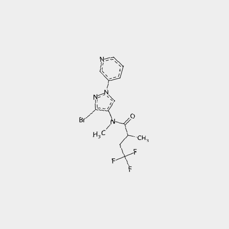 CC(CC(F)(F)F)C(=O)N(C)c1cn(-c2cccnc2)nc1Br